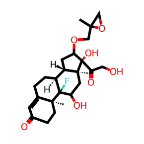 CC1(COC2C[C@H]3[C@@H]4CCC5=CC(=O)CC[C@]5(C)[C@@]4(F)C(O)C[C@]3(C)[C@@]2(O)C(=O)CO)CO1